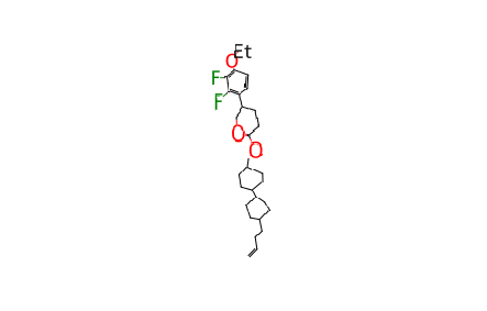 C=CCCC1CCC(C2CCC(COC3CCC(c4ccc(OCC)c(F)c4F)CO3)CC2)CC1